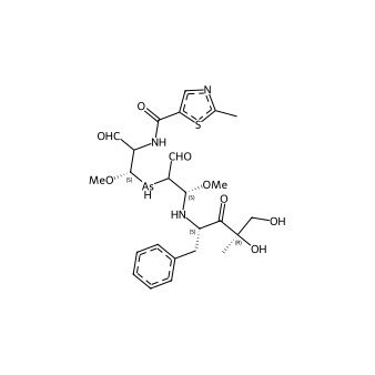 CO[C@H](N[C@@H](Cc1ccccc1)C(=O)[C@](C)(O)CO)C(C=O)[AsH][C@H](OC)C(C=O)NC(=O)c1cnc(C)s1